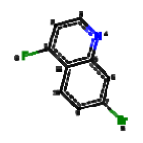 Fc1ccnc2cc(Br)ccc12